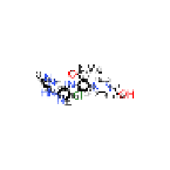 CNC(=O)c1cc(N2CCN(CCO)CC2)ccc1Nc1cc(Nc2cc(C)nn2C)ncc1Cl